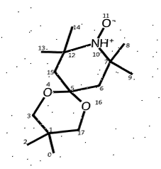 CC1(C)COC2(CC(C)(C)[NH+]([O-])C(C)(C)C2)OC1